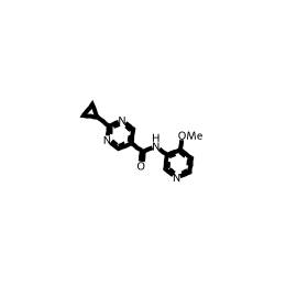 COc1ccncc1NC(=O)c1cnc(C2CC2)nc1